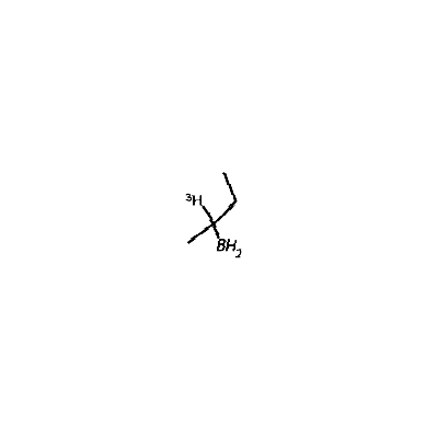 [3H]C(B)(C)CC